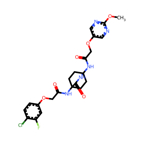 COc1ncc(OCC(=O)NC23CCC(NC(=O)COc4ccc(Cl)c(F)c4)(CC2)C(=O)N3)cn1